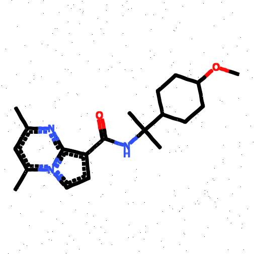 COC1CCC(C(C)(C)NC(=O)c2ccn3c(C)cc(C)nc23)CC1